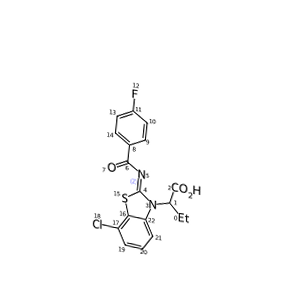 CCC(C(=O)O)n1/c(=N/C(=O)c2ccc(F)cc2)sc2c(Cl)cccc21